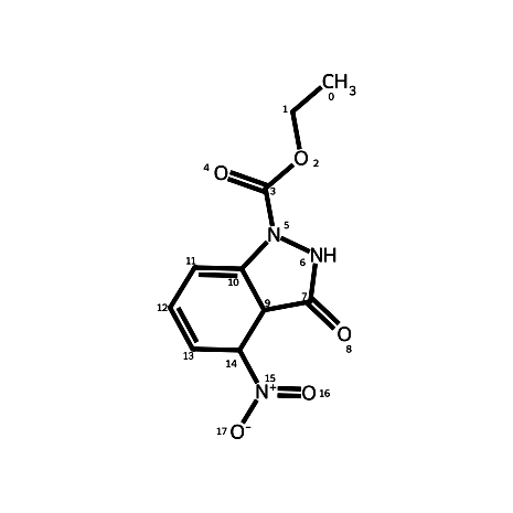 CCOC(=O)N1NC(=O)C2C1=CC=CC2[N+](=O)[O-]